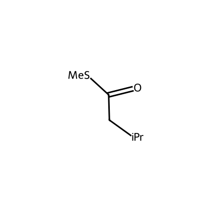 [CH2]SC(=O)CC(C)C